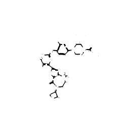 CCc1cc(N2CCN(C(=O)C(F)(F)F)[C@@H](COC(C)=O)C2)ccc1Nc1ncc(C(F)(F)F)c(-c2cc3c(s2)C(=O)N(C2COC2)CCS3(=O)=O)n1